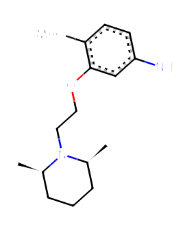 COc1ccc(N)cc1OCCN1[C@H](C)CCC[C@@H]1C